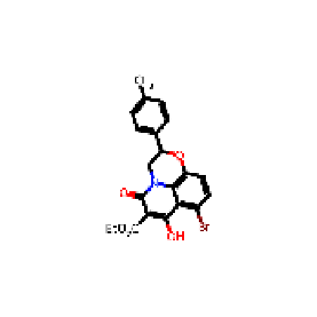 CCOC(=O)c1c(O)c2c(Br)ccc3c2n(c1=O)CC(c1ccc(C(F)(F)F)cc1)O3